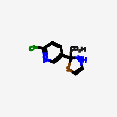 O=C(O)C1(c2ccc(Cl)nc2)NC=CS1